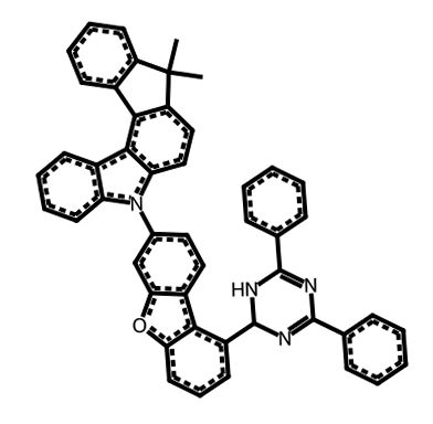 CC1(C)c2ccccc2-c2c1ccc1c2c2ccccc2n1-c1ccc2c(c1)oc1cccc(C3N=C(c4ccccc4)N=C(c4ccccc4)N3)c12